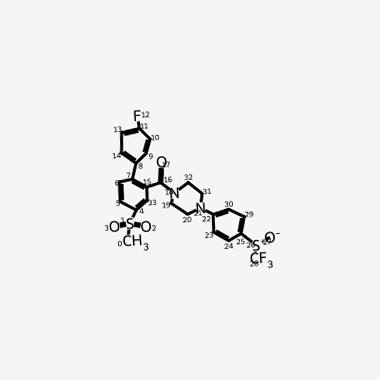 CS(=O)(=O)c1ccc(-c2ccc(F)cc2)c(C(=O)N2CCN(c3ccc([S+]([O-])C(F)(F)F)cc3)CC2)c1